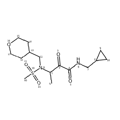 CC(C(=O)C(=O)NCC1CC1)N(CC1CCOCC1)S(C)(=O)=O